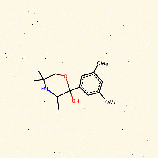 COc1cc(OC)cc(C2(O)OCC(C)(C)NC2C)c1